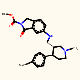 COc1ccc([C@@H]2CCN(C)C[C@H]2CNc2ccc3c(c2)C(=O)N(C(=O)OC(C)(C)C)C3)cc1